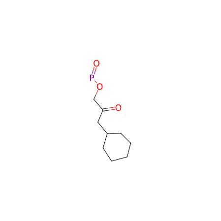 O=POCC(=O)CC1CCCCC1